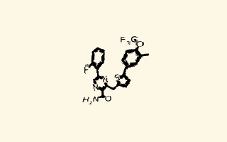 Cc1cc(-c2ccc(Cc3nc(-c4ccccc4F)cnc3C(N)=O)s2)ccc1OC(F)(F)F